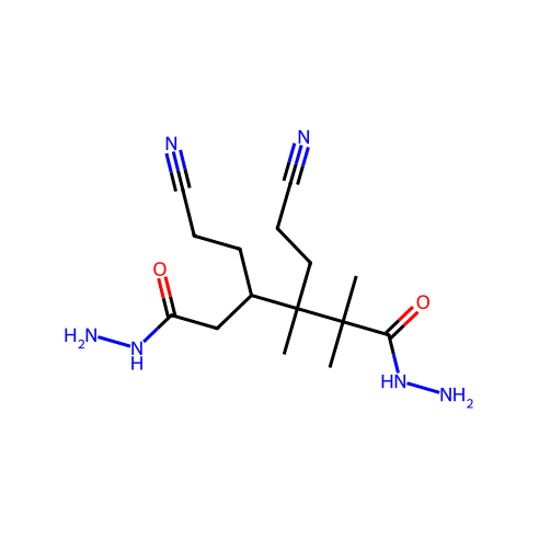 CC(C)(C(=O)NN)C(C)(CCC#N)C(CCC#N)CC(=O)NN